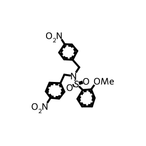 COc1ccccc1S(=O)(=O)N(Cc1ccc([N+](=O)[O-])cc1)Cc1ccc([N+](=O)[O-])cc1